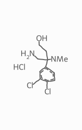 CNC(CN)(CCO)c1ccc(Cl)c(Cl)c1.Cl